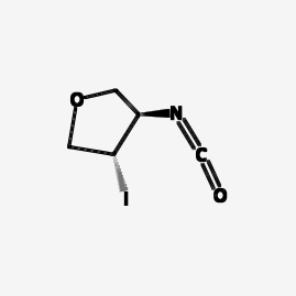 O=C=N[C@@H]1COC[C@H]1I